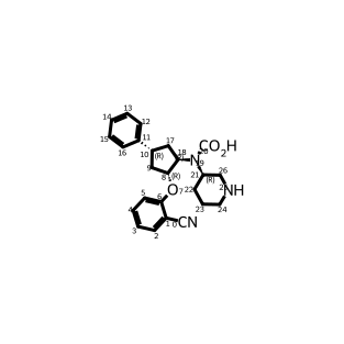 N#Cc1ccccc1O[C@@H]1C[C@H](c2ccccc2)C[C@H]1N(C(=O)O)[C@@H]1CCCNC1